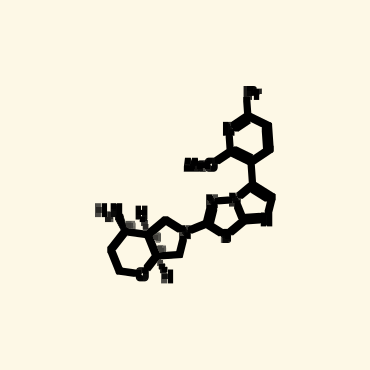 COc1nc(C(C)C)ccc1-c1cnc2sc(N3C[C@@H]4[C@H](N)CCO[C@@H]4C3)nn12